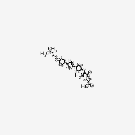 CC(C)CCCOc1ccc(-c2cnc(-c3ccc(C[C@H](N)C(=O)N4CC(C(=O)O)C4)cc3)nc2)cc1